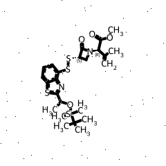 C=C(C)[C@H](C(=O)OC)N1C[C@H](SSc2cccc3sc(C(C)O[Si](C)(C)C(C)(C)C)nc23)C1=O